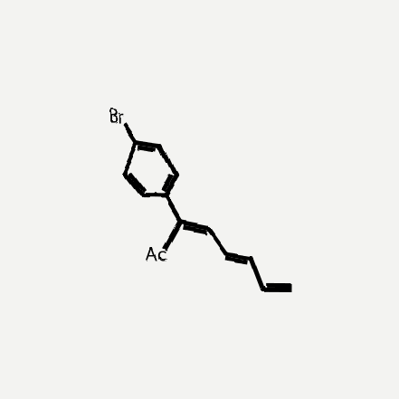 C=CC=CC=C(C(C)=O)c1ccc(Br)cc1